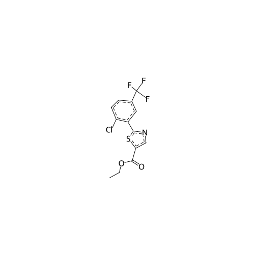 CCOC(=O)c1cnc(-c2cc(C(F)(F)F)ccc2Cl)s1